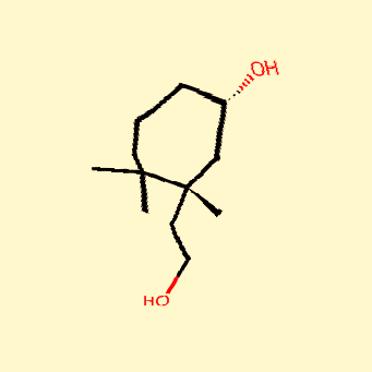 CC1(C)CC[C@H](O)C[C@]1(C)CCO